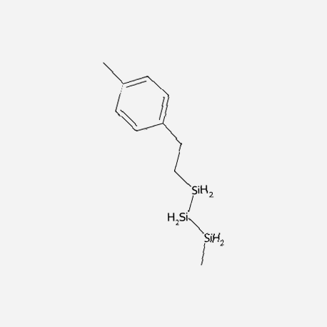 C[SiH2][SiH2][SiH2]CCc1ccc(C)cc1